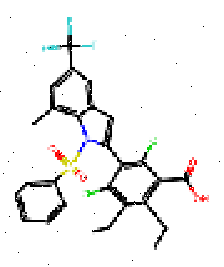 CCc1c(Cl)c(-c2cc3cc(C(F)(F)F)cc(C)c3n2S(=O)(=O)c2ccccc2)c(Cl)c(C(=O)O)c1CC